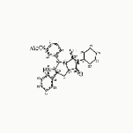 COc1cccc(C2c3[nH]c4ccccc4c3CC3C(=O)N(C4CCCCC4)C(=S)N32)c1